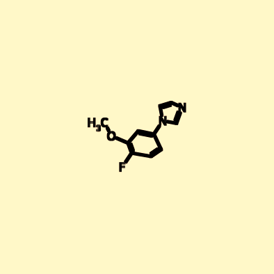 COc1cc(-n2ccnc2)ccc1F